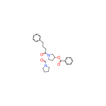 O=C(OC1C[C@H](C(=O)N2CCCC2)N(C(=O)CCCc2ccccc2)C1)c1ccccc1